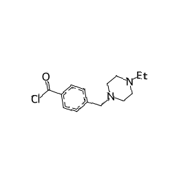 CCN1CCN(Cc2ccc(C(=O)Cl)cc2)CC1